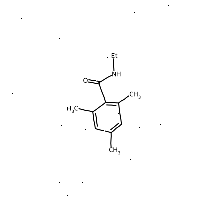 CCNC(=O)c1c(C)cc(C)cc1C